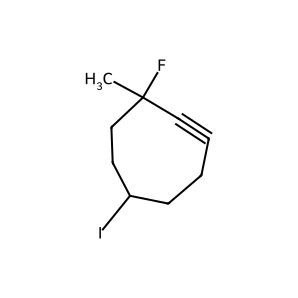 CC1(F)C#CCCC(I)CC1